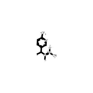 CC(c1ccc(C(F)(F)F)nc1)S(C)=[N+]([O-])C#N